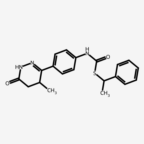 CC1CC(=O)NN=C1c1ccc(NC(=O)SC(C)c2ccccc2)cc1